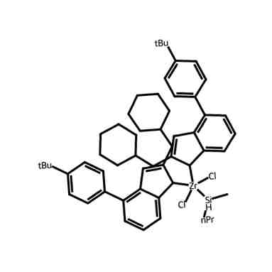 CCC[SiH](C)[Zr]([Cl])([Cl])([CH]1C(CC2CCCCC2)=Cc2c(-c3ccc(C(C)(C)C)cc3)cccc21)[CH]1C(CC2CCCCC2)=Cc2c(-c3ccc(C(C)(C)C)cc3)cccc21